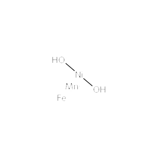 [Fe].[Mn].[OH][Ni][OH]